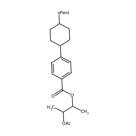 CCCCCC1CCC(c2ccc(C(=O)OC(C)C(C)OC(C)=O)cc2)CC1